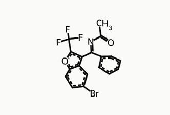 CC(=O)N=C(c1ccccc1)c1c(C(F)(F)F)oc2ccc(Br)cc12